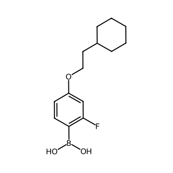 OB(O)c1ccc(OCCC2CCCCC2)cc1F